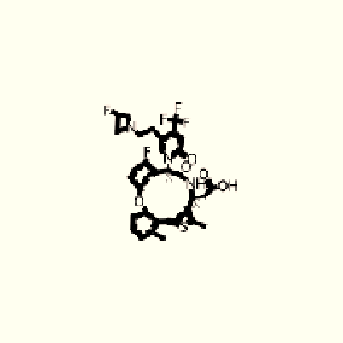 Cc1cccc2c1-c1cc(c(C)s1)[C@H](CC(=O)O)NC(=O)[C@@H](n1cc(CCN3CC(F)C3)c(C(F)(F)F)cc1=O)c1cc(ccc1F)O2